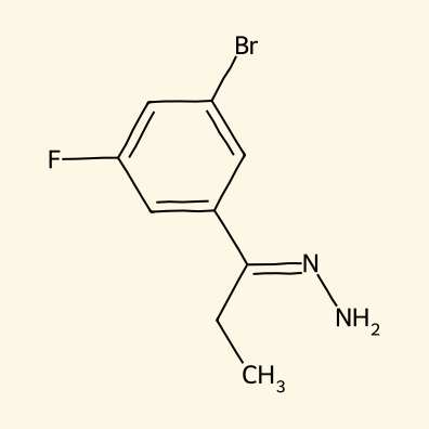 CCC(=NN)c1cc(F)cc(Br)c1